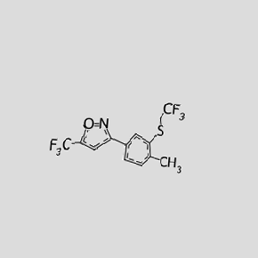 Cc1ccc(-c2cc(C(F)(F)F)on2)cc1SCC(F)(F)F